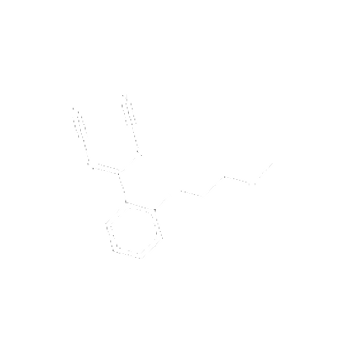 COCCOc1ccccc1C(=NC#N)NC#N